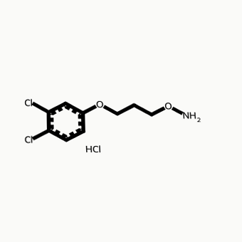 Cl.NOCCCOc1ccc(Cl)c(Cl)c1